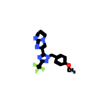 COc1ccc(Cn2nc(C(F)(F)F)nc2-c2cn3cccnc3n2)cc1